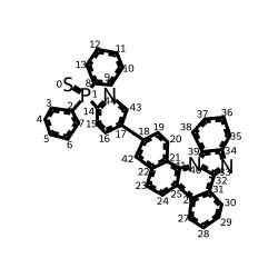 S=P(c1ccccc1)(c1ccccc1)c1ccc(-c2ccc3c(ccc4c5ccccc5c5nc6ccccc6n5c34)c2)cn1